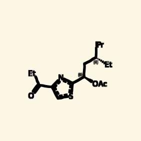 CCC(=O)c1csc([C@@H](C[C@@H](CC)C(C)C)OC(C)=O)n1